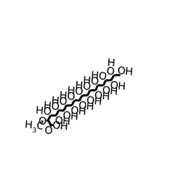 COC(C(=O)O)C(O)C(O)C(O)C(O)C(O)C(O)C(O)C(O)C(O)C(O)C(O)C(O)C(O)C(O)C(O)C(O)C(O)CO